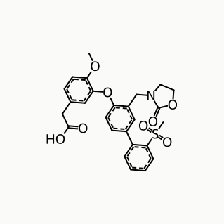 COc1ccc(CC(=O)O)cc1Oc1ccc(-c2ccccc2S(C)(=O)=O)cc1CN1CCOC1=O